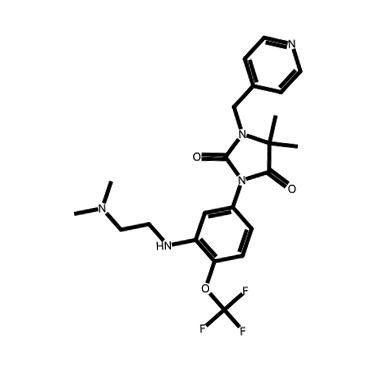 CN(C)CCNc1cc(N2C(=O)N(Cc3ccncc3)C(C)(C)C2=O)ccc1OC(F)(F)F